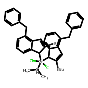 CCCCC1=Cc2c(Cc3ccccc3)cccc2[CH]1[Zr]([Cl])([Cl])([CH]1C(CCCC)=Cc2c(Cc3ccccc3)cccc21)[SiH](C)C